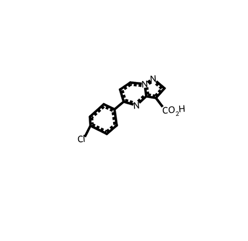 O=C(O)c1cnn2ccc(-c3ccc(Cl)cc3)nc12